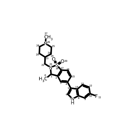 CC1c2cc(-c3c[nH]c4cc(F)ccc34)ccc2S(=O)(=O)N1CC1CCN(C)CC1